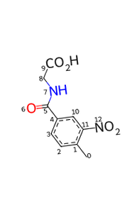 Cc1ccc(C(=O)NCC(=O)O)cc1[N+](=O)[O-]